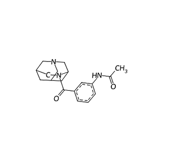 CC(=O)Nc1cccc(C(=O)N2CC3CC4CC2CN(C4)C3)c1